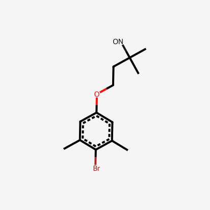 Cc1cc(OCCC(C)(C)N=O)cc(C)c1Br